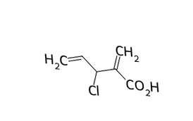 C=CC(Cl)C(=C)C(=O)O